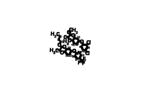 CCCCOC(=O)C(C)Oc1ccc(Oc2ccc(C(F)(F)F)cn2)cc1.COC(=O)C(C)Oc1ccc(Oc2ccc(Cl)cc2Cl)cc1